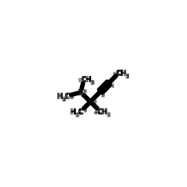 CC#CC(C)(C)B(C)C